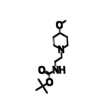 COC1CCN(CCNC(=O)OC(C)(C)C)CC1